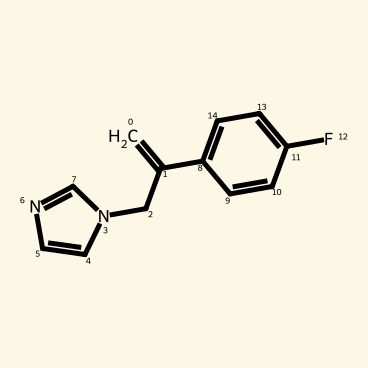 C=C(Cn1ccnc1)c1ccc(F)cc1